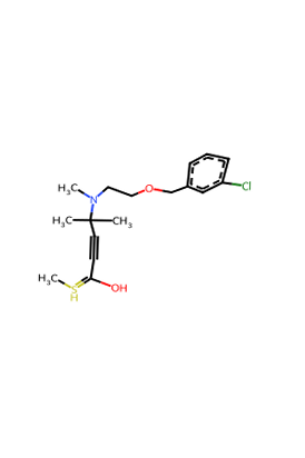 C[SH]=C(O)C#CC(C)(C)N(C)CCOCc1cccc(Cl)c1